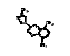 Cc1ccc(C)c2cc(-c3cnn(C)c3)ncc12